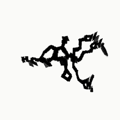 CCC[CH2][Sn]([CH2]CCC)([CH2]CCC)[c]1c(C#N)c2ccc(C)nc2n1C1CCC1